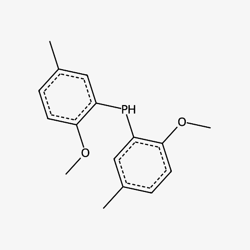 COc1ccc(C)cc1Pc1cc(C)ccc1OC